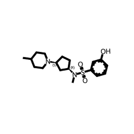 CC1CCN([C@H]2CC[C@@H](N(C)S(=O)(=O)c3cccc(O)c3)C2)CC1